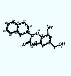 CCCc1cc(CO)cc(CCC)c1OC(C(=O)OC)c1ccc2ccccc2c1